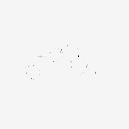 COc1ccc2c(c1)CCc1sc(N(C)c3ccco3)nc1-2